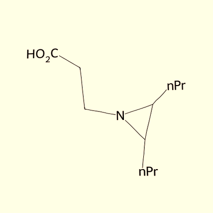 CCCC1C(CCC)N1CCC(=O)O